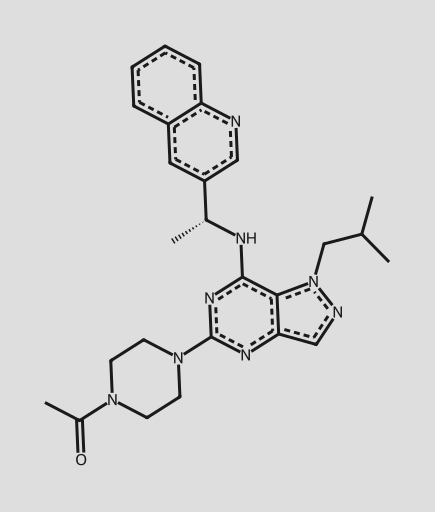 CC(=O)N1CCN(c2nc(N[C@H](C)c3cnc4ccccc4c3)c3c(cnn3CC(C)C)n2)CC1